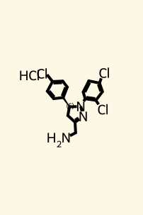 Cl.NCC1=NN(c2ccc(Cl)cc2Cl)[C@H](c2ccc(Cl)cc2)C1